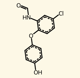 O=CNc1cc(Cl)ccc1Oc1ccc(O)cc1